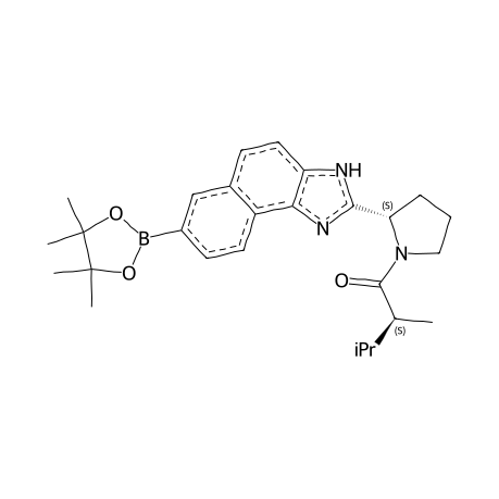 CC(C)[C@H](C)C(=O)N1CCC[C@H]1c1nc2c(ccc3cc(B4OC(C)(C)C(C)(C)O4)ccc32)[nH]1